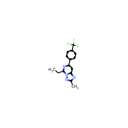 CCc1nc(-c2ccc(C(F)(F)F)cc2)cc2nc(C)nn12